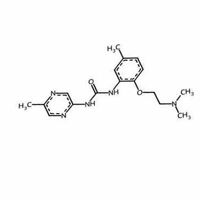 Cc1ccc(OCCN(C)C)c(NC(=O)Nc2cnc(C)cn2)c1